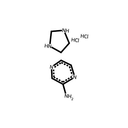 C1CNCN1.Cl.Cl.Nc1cnccn1